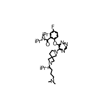 CC(C)[C@@H](CCCN(C)C)N1CC2(CCN(c3ncnnc3Oc3ccc(F)cc3C(=O)N(C(C)C)C(C)C)C2)C1